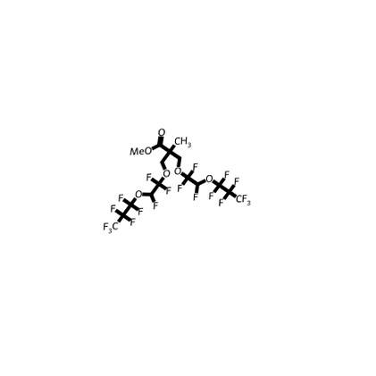 COC(=O)C(C)(COC(F)(F)C(F)OC(F)(F)C(F)(F)C(F)(F)F)COC(F)(F)C(F)OC(F)(F)C(F)(F)C(F)(F)F